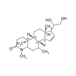 CC1CC2N(C)C(=O)CC[C@]2(C)[C@@H]2CC[C@]3(C)C(C(O)CO)C=C[C@H]3[C@H]12